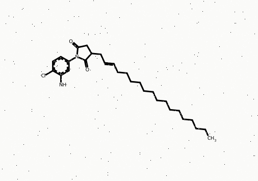 CCCCCCCCCCCCCCCC=CCC1CC(=O)N(c2ccc(Cl)c([NH])c2)C1=O